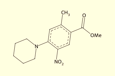 COC(=O)c1cc([N+](=O)[O-])c(N2CCCCC2)cc1C